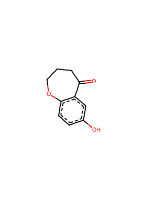 O=C1CCCOc2ccc(O)cc21